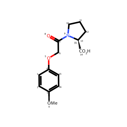 COc1ccc(OCC(=O)N2CCC[C@H]2C(=O)O)cc1